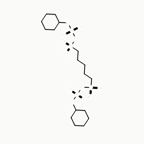 O=S(=O)(CCCCCS(=O)(=O)OS(=O)(=O)OC1CCCCC1)OS(=O)(=O)OC1CCCCC1